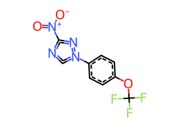 O=[N+]([O-])c1ncn(-c2ccc(OC(F)(F)F)cc2)n1